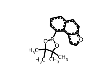 CC1(C)OB(c2cccc3ccc4occc4c23)OC1(C)C